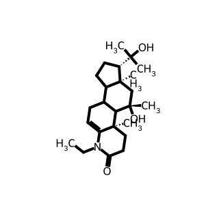 CCN1C(=O)CC[C@@]2(C)C1=CCC1C2[C@@](C)(O)C[C@@]2(C)C1CC[C@@H]2C(C)(C)O